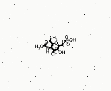 CCC1OC(COS(=O)(=O)O)[C@@H](O)[C@@H](O)C1NC(C)=O